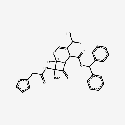 COC1(NC(=O)Cc2cccs2)C(=O)N2C(C(=O)OC(c3ccccc3)c3ccccc3)C(C(C)O)=CS[C@@H]21